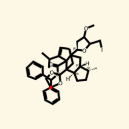 COC1C[C@H](C23C[C@@H]4[C@H](C)CC[C@H]4C4(C5OCCO5)CC2C=C(C(C)C)C43C(=O)OC(c2ccccc2)c2ccccc2)OC1CI